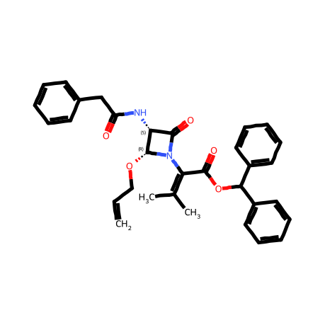 C=CCO[C@@H]1[C@H](NC(=O)Cc2ccccc2)C(=O)N1C(C(=O)OC(c1ccccc1)c1ccccc1)=C(C)C